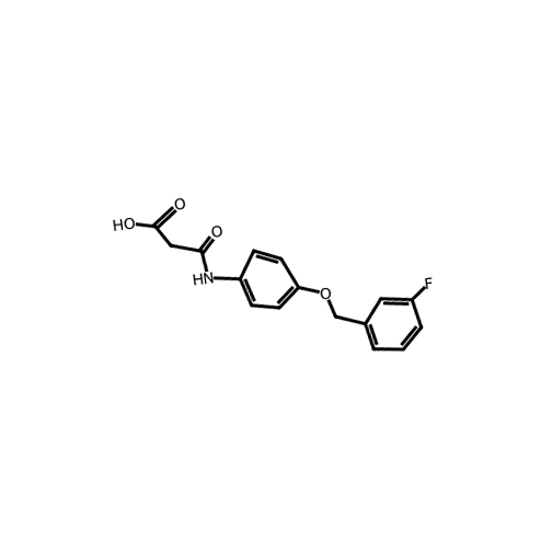 O=C(O)CC(=O)Nc1ccc(OCc2cccc(F)c2)cc1